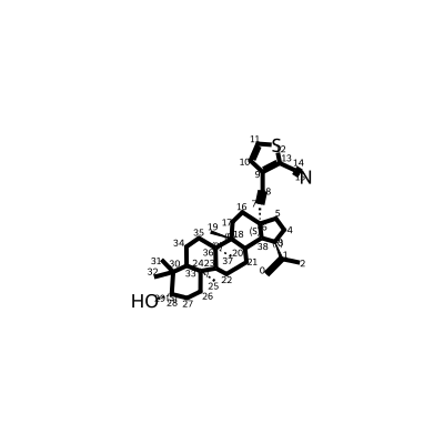 C=C(C)[C@@H]1CC[C@]2(C#Cc3ccsc3C#N)CC[C@]3(C)C(CCC4[C@@]5(C)CC[C@H](O)C(C)(C)C5CC[C@]43C)C12